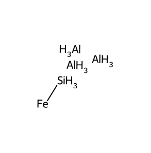 [AlH3].[AlH3].[AlH3].[SiH3][Fe]